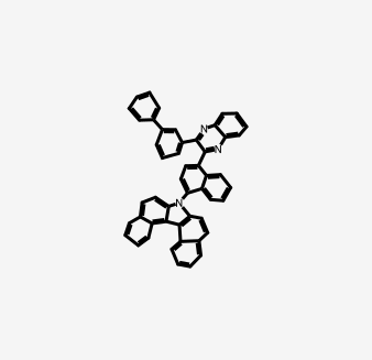 c1ccc(-c2cccc(-c3nc4ccccc4nc3-c3ccc(-n4c5ccc6ccccc6c5c5c6ccccc6ccc54)c4ccccc34)c2)cc1